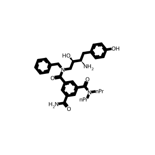 CCCN(CCC)C(=O)c1cc(C(N)=O)cc(C(=O)N(Cc2ccccc2)C[C@@H](O)[C@@H](N)Cc2ccc(O)cc2)c1